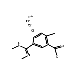 CN=C(NC)c1ccc(C)c(C(=O)[O-])c1.[Cl-].[Cl-].[Cl-].[Ti+4]